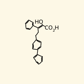 O=C(O)/C(O)=C(\CCc1ccc(-c2ccccc2)cc1)c1ccccc1